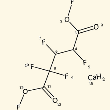 O=C(OF)C(F)C(F)C(F)(F)C(=O)OF.[CaH2]